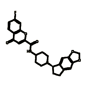 O=C(NC1CCN([C@@H]2CCc3cc4c(cc32)OCO4)CC1)c1cc(=O)c2ccc(F)cc2o1